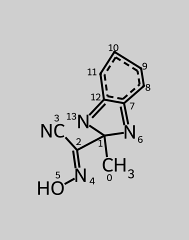 CC1(C(C#N)=NO)N=c2ccccc2=N1